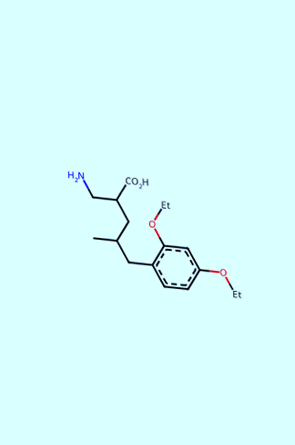 CCOc1ccc(CC(C)CC(CN)C(=O)O)c(OCC)c1